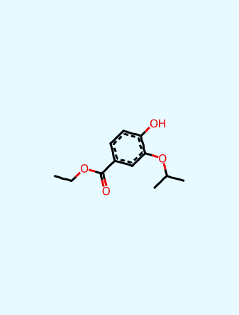 CCOC(=O)c1ccc(O)c(OC(C)C)c1